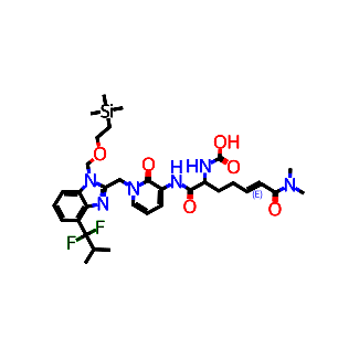 CC(C)C(F)(F)c1cccc2c1nc(Cn1cccc(NC(=O)C(CC/C=C/C(=O)N(C)C)NC(=O)O)c1=O)n2COCC[Si](C)(C)C